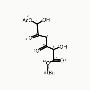 CC(=O)OC(O)C(=O)CC(=O)C(O)C(=O)OC(C)(C)C